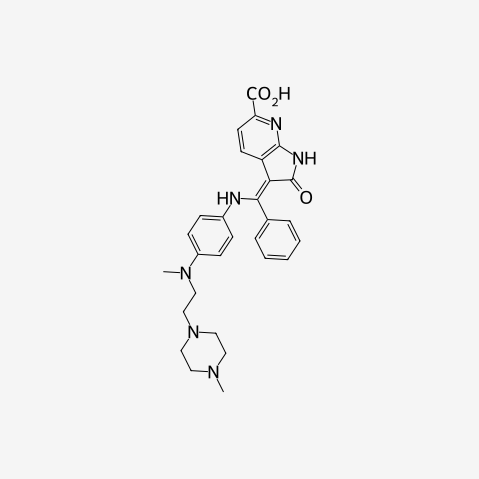 CN1CCN(CCN(C)c2ccc(NC(=C3C(=O)Nc4nc(C(=O)O)ccc43)c3ccccc3)cc2)CC1